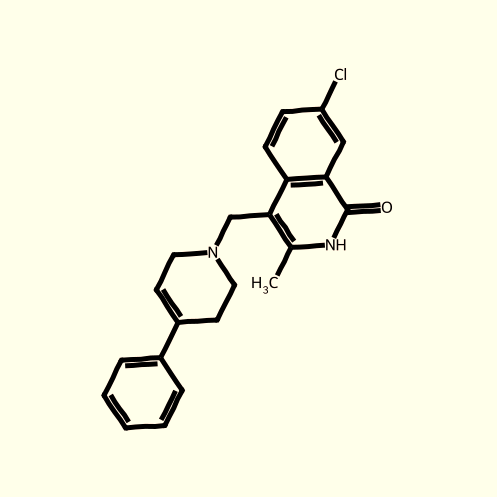 Cc1[nH]c(=O)c2cc(Cl)ccc2c1CN1CC=C(c2ccccc2)CC1